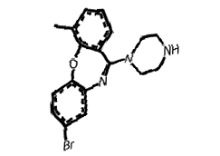 Cc1cccc2c1Oc1ccc(Br)cc1N=C2N1CCNCC1